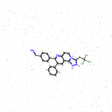 N=Cc1ccc(-c2nc3ccn4c(CC(F)(F)F)nnc4c3cc2-c2ccccc2)cc1